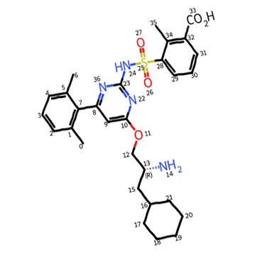 Cc1cccc(C)c1-c1cc(OC[C@H](N)CC2CCCCC2)nc(NS(=O)(=O)c2cccc(C(=O)O)c2C)n1